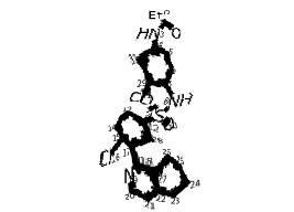 CCC(=O)Nc1ccc(NS(=O)(=O)c2ccc(Cl)c(-c3nccc4ccccc34)c2)c(Cl)c1